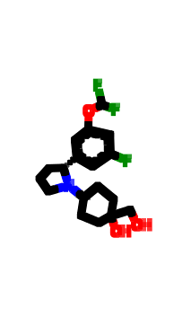 OCC1(O)CC[C](N2CCC[C@@H]2c2cc(F)cc(OC(F)F)c2)CC1